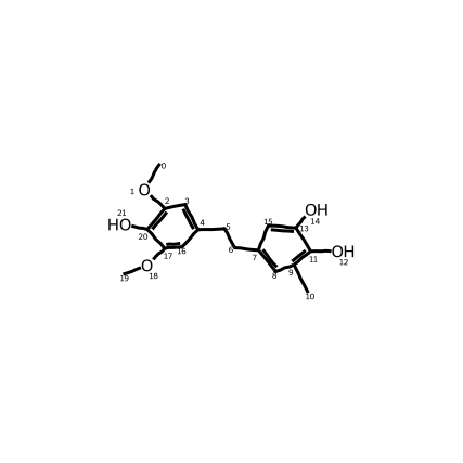 COc1cc(CCc2cc(C)c(O)c(O)c2)cc(OC)c1O